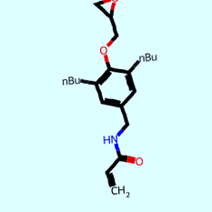 C=CC(=O)NCc1cc(CCCC)c(OCC2CO2)c(CCCC)c1